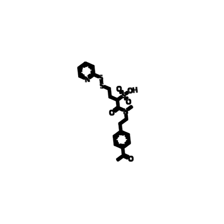 CC(=O)c1ccc(CCN(C)C(=O)C(CCSSc2ccccn2)S(=O)(=O)O)cc1